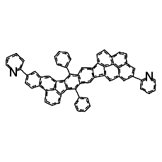 c1ccc(-c2c3cc4c(cc3c(-c3ccccc3)c3c5cc6cc(-c7ccccn7)ccc6c6cccc(c23)c65)c2ccc3ccc5cc(-c6ccccn6)cc6cc4c2c3c56)cc1